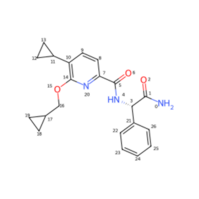 NC(=O)[C@@H](NC(=O)c1ccc(C2CC2)c(OCC2CC2)n1)c1ccccc1